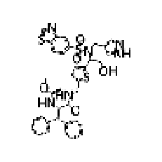 C=C(N[C@H](C(=O)NCc1ccc(C(CO)N(Cc2cn[nH]c2)S(=O)(=O)c2ccc3scnc3c2)s1)C(c1ccccc1)c1ccccc1)OC